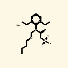 CCCCOCN(C(=O)CS(=O)(=O)[O-])c1c(CC)cccc1CC.[Na+]